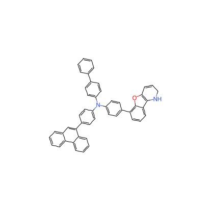 C1=Cc2oc3c(-c4ccc(N(c5ccc(-c6ccccc6)cc5)c5ccc(-c6cc7ccccc7c7ccccc67)cc5)cc4)cccc3c2NC1